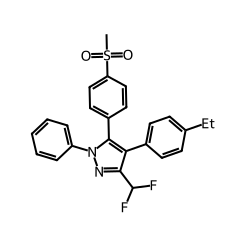 CCc1ccc(-c2c(C(F)F)nn(-c3ccccc3)c2-c2ccc(S(C)(=O)=O)cc2)cc1